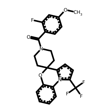 COc1ccc(C(=O)N2CCC3(CC2)Oc2ccccc2-n2c(C(F)(F)F)ccc23)c(F)c1